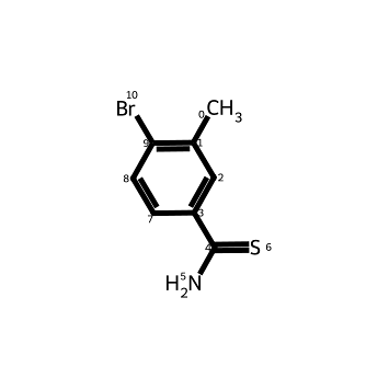 Cc1cc(C(N)=S)ccc1Br